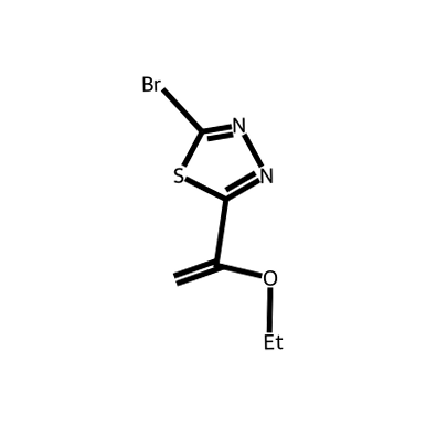 C=C(OCC)c1nnc(Br)s1